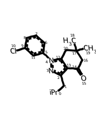 CC(C)Cc1nn(-c2cccc(Cl)c2)c2c1C(=O)CC(C)(C)C2